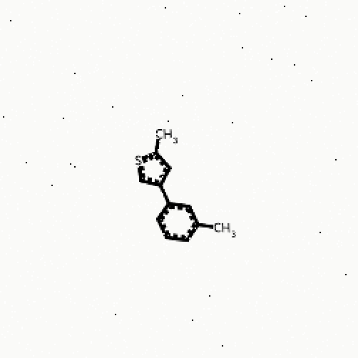 Cc1cccc(-c2csc(C)c2)c1